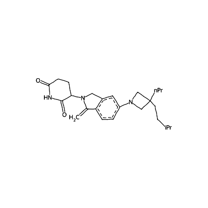 C=C1c2ccc(N3CC(CCC)(CCC(C)C)C3)cc2CN1C1CCC(=O)NC1=O